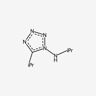 CC(C)Nn1nnnc1C(C)C